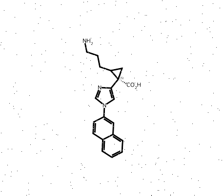 NCCCC1C[C@@]1(C(=O)O)c1cn(-c2ccc3ccccc3c2)cn1